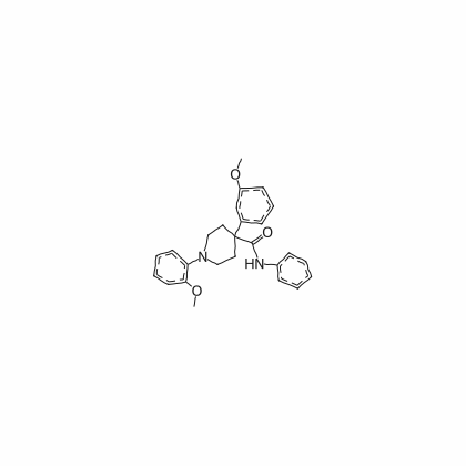 COc1cccc(C2(C(=O)Nc3ccccc3)CCN(c3ccccc3OC)CC2)c1